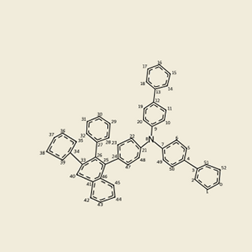 c1ccc(-c2ccc(N(c3ccc(-c4ccccc4)cc3)c3ccc(-c4c(-c5ccccc5)c(-c5ccccc5)cc5ccccc45)cc3)cc2)cc1